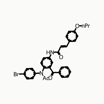 CCCOc1ccc(C=CC(=O)Nc2ccc(N(C(C)=O)c3ccc(Br)cc3)c(C(=O)c3ccccc3)c2)cc1